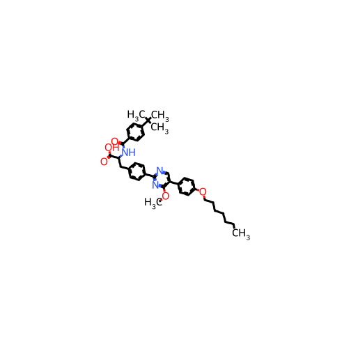 CCCCCCCOc1ccc(-c2cnc(-c3ccc(CC(NC(=O)c4ccc(C(C)(C)C)cc4)C(=O)O)cc3)nc2OC)cc1